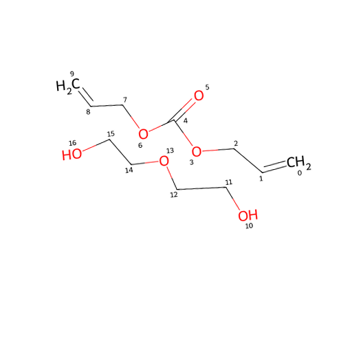 C=CCOC(=O)OCC=C.OCCOCCO